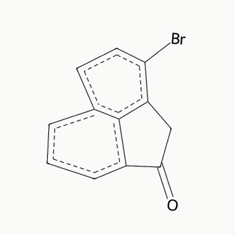 O=C1Cc2c(Br)ccc3cccc1c23